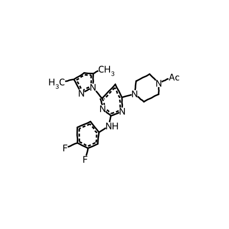 CC(=O)N1CCN(c2cc(-n3nc(C)cc3C)nc(Nc3ccc(F)c(F)c3)n2)CC1